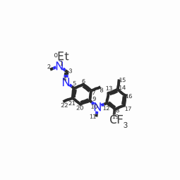 CCN(C)C=Nc1cc(C)c(N(C)c2cc(C)ccc2C(F)(F)F)cc1C